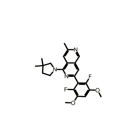 COc1cc(OC)c(F)c(-c2cc3cnc(C)cc3c(N3CCC(C)(C)C3)n2)c1F